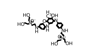 CC1=C(O)/C(=N/c2ccc(NCC[N+]([O-])(CCO)CCO)cc2)C=C(Nc2ccc(NCC[N+]([O-])(CCO)CCO)cc2)C1=O